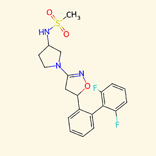 CS(=O)(=O)NC1CCN(C2=NOC(c3ccccc3-c3c(F)cccc3F)C2)C1